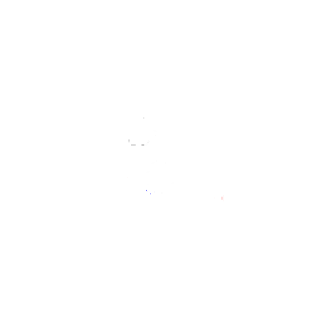 OCCc1cnc(OC(F)F)c(-c2cccc(Cl)c2)c1